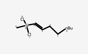 CCCCCC/C=C/[Si](C)(Cl)Cl